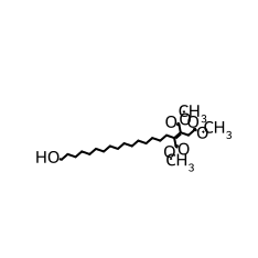 COC(=O)C/C(C(=O)OC)=C(/CCCCCCCCCCCCCCCCO)C(=O)OC